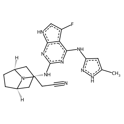 Cc1cc(Nc2nc(N[C@@H]3C[C@H]4CC[C@@H](C3)N4CCC#N)nc3[nH]cc(F)c23)n[nH]1